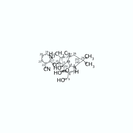 CC1=C[C@]23C(=O)[C@@H](C=C(CO)[C@@H](O)[C@]2(O)[C@H]1Oc1ncccc1C#N)C1C(C[C@H]3C)C1(C)C